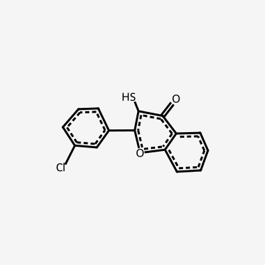 O=c1c(S)c(-c2cccc(Cl)c2)oc2ccccc12